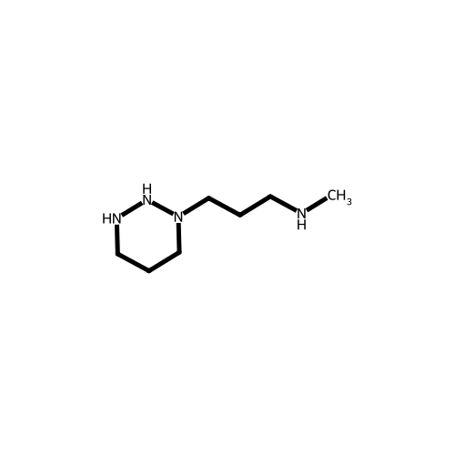 CNCCCN1CCCNN1